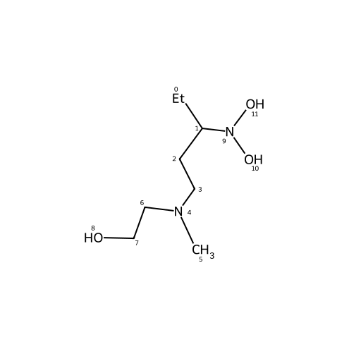 CCC(CCN(C)CCO)N(O)O